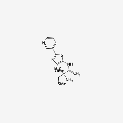 C=C(Nc1sc(-c2cccnc2)nc1OC)C(C)(C)CSC